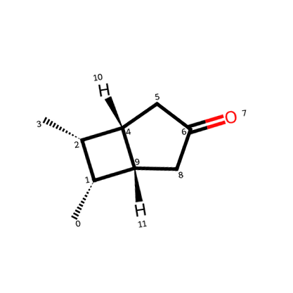 C[C@@H]1[C@H](C)[C@@H]2CC(=O)C[C@H]12